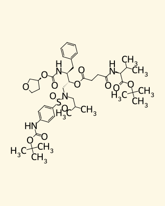 CC(C)CN(C[C@@H](OC(=O)CCC(=O)N[C@H](C(=O)OC(C)(C)C)C(C)C)[C@H](Cc1ccccc1)NC(=O)O[C@H]1CCOC1)S(=O)(=O)c1ccc(NC(=O)OC(C)(C)C)cc1